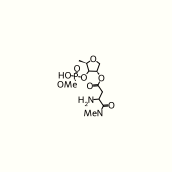 CNC(=O)C(N)CC(=O)O[C@@H]1CO[C@H](C)C1OP(=O)(O)OC